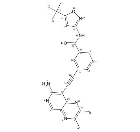 Cc1nc2cnc(N)c(C#Cc3cncc(C(=O)Nc4cc(C(C)(C)C)on4)c3)c2nc1C